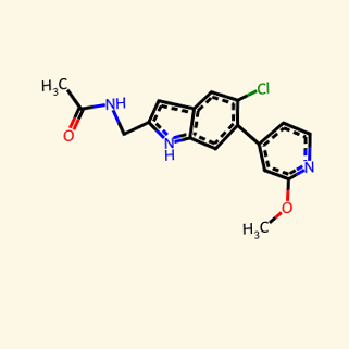 COc1cc(-c2cc3[nH]c(CNC(C)=O)cc3cc2Cl)ccn1